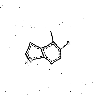 Cc1c(Br)ccc2[nH]ccc12